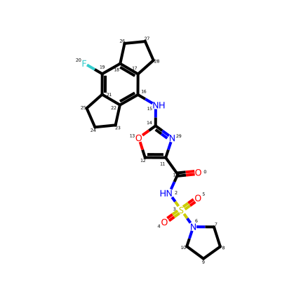 O=C(NS(=O)(=O)N1CCCC1)c1coc(Nc2c3c(c(F)c4c2CCC4)CCC3)n1